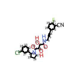 N#Cc1cc(C#CCNC(=O)[C@H](O)[C@@H](O)C(=O)N2CCCC2c2cccc(Cl)c2)ccc1F